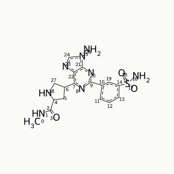 CNC(=O)C1CC(c2nc(-c3cccc(S(N)(=O)=O)c3)nc3c2ncn3N)CN1